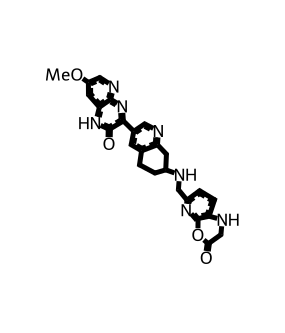 COc1cnc2nc(-c3cnc4c(c3)CCC(NCc3ccc5c(n3)OC(=O)CN5)C4)c(=O)[nH]c2c1